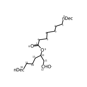 CCCCCCCCCCCCCCCCC(=O)OC(C[C]=O)CCCCCCCCCCCCC